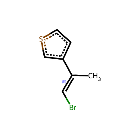 C/C(=C\Br)c1ccsc1